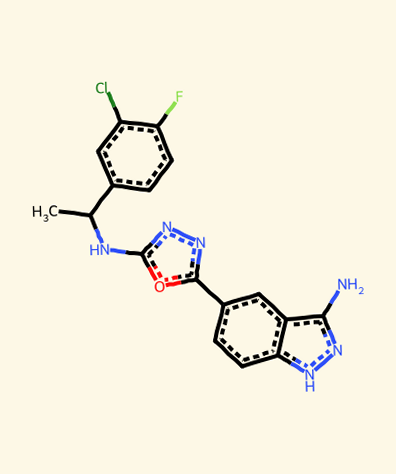 CC(Nc1nnc(-c2ccc3[nH]nc(N)c3c2)o1)c1ccc(F)c(Cl)c1